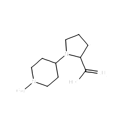 C=C(C)C1CCCN1C1CCN(C(C)(C)C)CC1